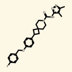 Cc1noc(NC(=O)N2CCC3(CC2)CC(c2ccc(OCc4ccc(F)cc4)cc2)C3)c1C